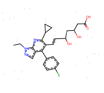 CCn1ncc2c(-c3ccc(F)cc3)c(/C=C/C(O)CC(O)CC(=O)O)c(C3CC3)nc21